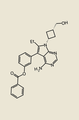 CCc1c(-c2cccc(OC(=O)c3ccccc3)c2)c2c(N)ncnc2n1[C@H]1C[C@@H](CO)C1